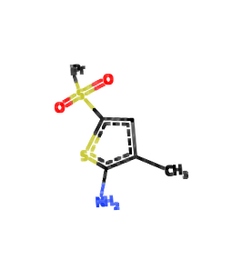 Cc1cc(S(=O)(=O)C(C)C)sc1N